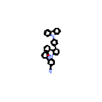 N#Cc1ccc2c(c1)c1ccccc1n2-c1cccc(-c2ccc(-n3c4ccccc4c4ccccc43)cc2)c1-c1ccccc1C#N